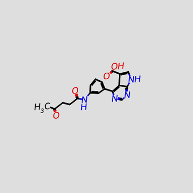 CC(=O)CCC(=O)Nc1cccc(-c2ncnc3[nH]cc(C(=O)O)c23)c1